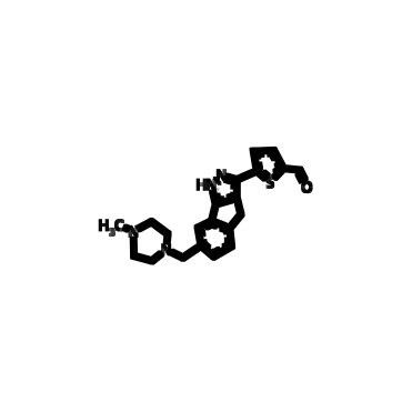 CN1CCN(Cc2ccc3c(c2)-c2[nH]nc(-c4ccc(C=O)s4)c2C3)CC1